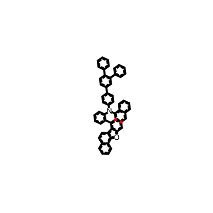 c1ccc(-c2ccc(-c3ccc(N(c4ccccc4-c4cccc5oc6c7ccccc7ccc6c45)c4cccc5ccccc45)cc3)cc2-c2ccccc2)cc1